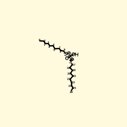 CCCCCCCCCCSOP(=O)(O)OSCCCCCCCCCC